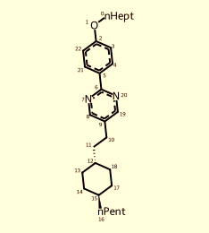 CCCCCCCOc1ccc(-c2ncc(CC[C@H]3CC[C@H](CCCCC)CC3)cn2)cc1